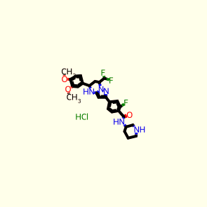 COc1ccc(C2CC(C(F)F)n3nc(-c4ccc(C(=O)NC5CCCNC5)c(F)c4)cc3N2)cc1OC.Cl